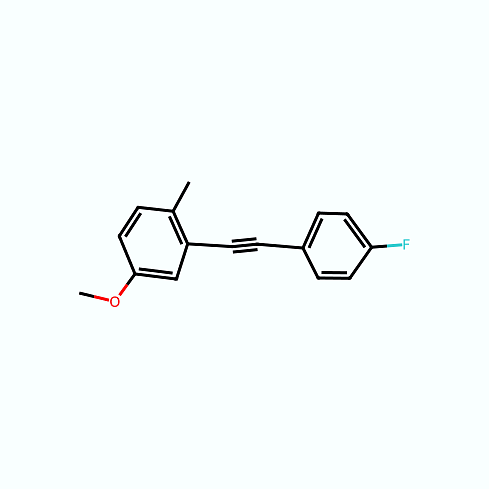 COc1ccc(C)c(C#Cc2ccc(F)cc2)c1